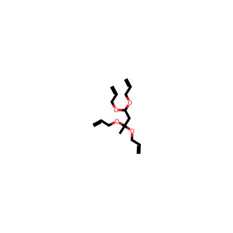 C=CCOC(CC(C)(OCC=C)OCC=C)OCC=C